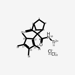 C=C1C2CCC(C2)C1(C(=O)[NH][Ti+2])C1=C(C)C(C)=C(C)C1C.[Cl-].[Cl-]